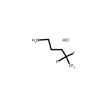 Cl.NCCCC(F)(F)C(F)(F)F